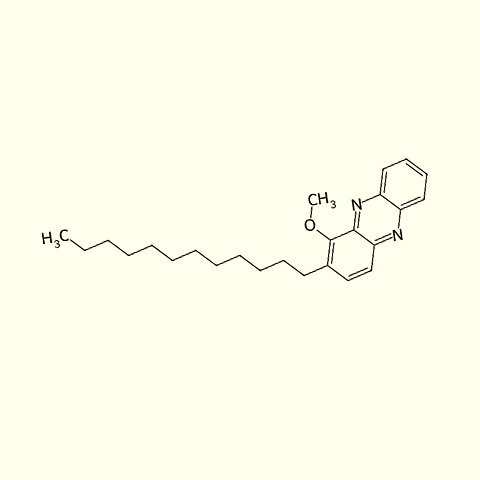 CCCCCCCCCCCCc1ccc2nc3ccccc3nc2c1OC